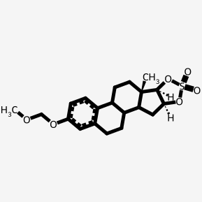 COCOc1ccc2c(c1)CCC1C2CC[C@@]2(C)C1C[C@@H]1OS(=O)(=O)O[C@@H]12